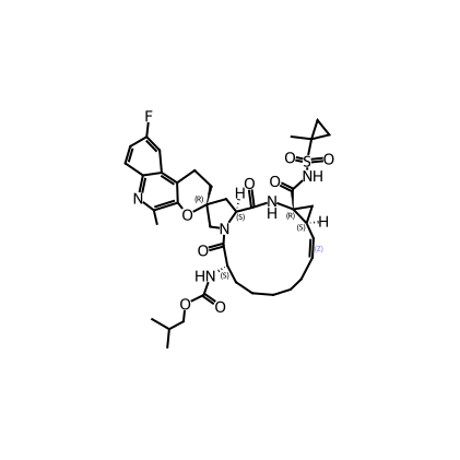 Cc1nc2ccc(F)cc2c2c1O[C@]1(CC2)C[C@H]2C(=O)N[C@]3(C(=O)NS(=O)(=O)C4(C)CC4)C[C@H]3/C=C\CCCCC[C@H](NC(=O)OCC(C)C)C(=O)N2C1